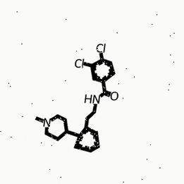 CN1CCC(c2ccccc2CCNC(=O)c2ccc(Cl)c(Cl)c2)CC1